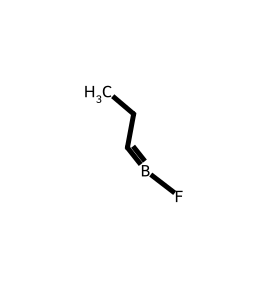 CCC=BF